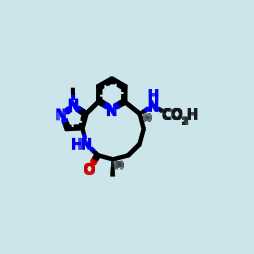 C[C@@H]1CCC[C@H](NC(=O)O)c2cccc(n2)-c2c(cnn2C)NC1=O